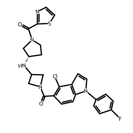 O=C(c1nccs1)N1CC[C@H](NC2CN(C(=O)c3ccc4c(ccn4-c4ccc(F)cc4)c3Cl)C2)C1